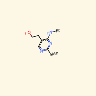 CCNc1nc(SC)ncc1CCO